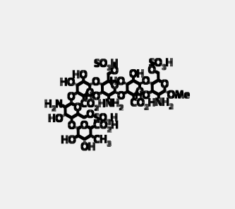 CO[C@H]1OC(COS(=O)(=O)O)[C@@H](O[C@@H]2OC(C(=O)O)[C@@H](O[C@H]3OC(COS(=O)(=O)O)[C@@H](O[C@@H]4OC(C(=O)O)[C@@H](O[C@H]5OC(COS(=O)(=O)O)[C@@H](O[C@@H]6OC(C(=O)O)[C@@H](C)[C@H](O)C6O)[C@H](O)C5N)[C@H](O)C4O)[C@H](O)C3N)[C@H](O)C2O)[C@H](O)C1N